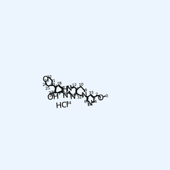 COCc1cncc(N2CCc3cnc(Nc4ccc(C5CCOCC5)c(CO)c4)nc3C2)c1.Cl